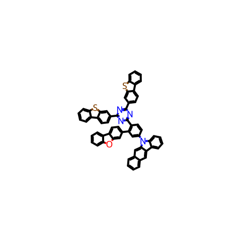 c1ccc2cc3c(cc2c1)c1ccccc1n3-c1ccc(-c2nc(-c3ccc4c(c3)sc3ccccc34)nc(-c3ccc4c(c3)sc3ccccc34)n2)c(-c2ccc3c(c2)oc2ccccc23)c1